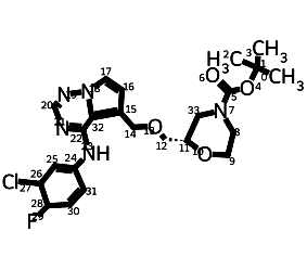 CC(C)(C)OC(=O)N1CCO[C@H](COCc2ccn3ncnc(NC4=CC(Cl)C(F)C=C4)c23)C1